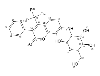 O=c1oc2cc(NC3C(O)OC(CO)[C@H](O)[C@H]3O)ccc2c(C(F)(F)F)c1-c1ccccc1